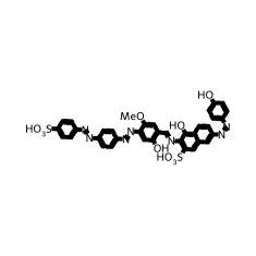 COc1cc(C=Nc2c(S(=O)(=O)O)cc3cc(/N=N\c4ccc(O)cc4)ccc3c2O)c(O)cc1/N=N/c1ccc(N=Nc2ccc(S(=O)(=O)O)cc2)cc1